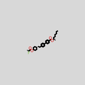 CCCCCC[C@@H](C)OC(=O)c1ccc(-c2ccc(CC[C@H]3CC[C@H](OC(=O)[C@H](C)F)CC3)cc2)cc1